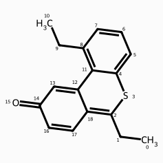 CCc1sc2cccc(CC)c2c2cc(=O)ccc1-2